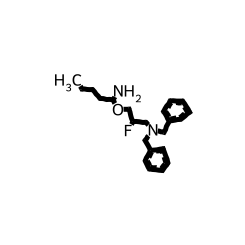 CCCCC(N)OCC(F)CN(Cc1ccccc1)Cc1ccccc1